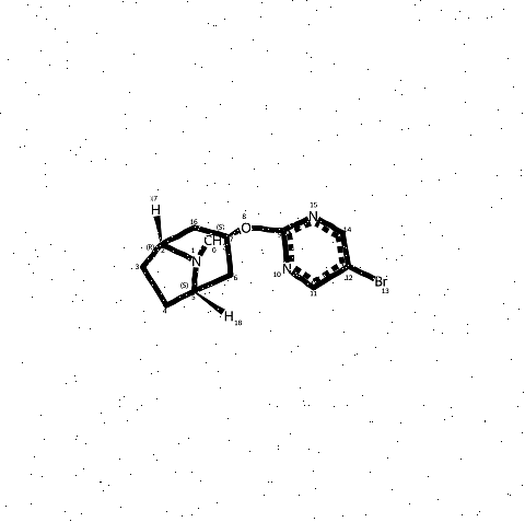 CN1[C@@H]2CC[C@H]1C[C@H](Oc1ncc(Br)cn1)C2